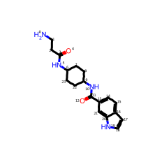 NCCC(=O)NC1CCC(NC(=O)c2ccc3cc[nH]c3c2)CC1